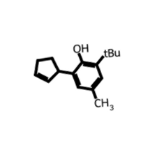 Cc1cc(C2C=CCC2)c(O)c(C(C)(C)C)c1